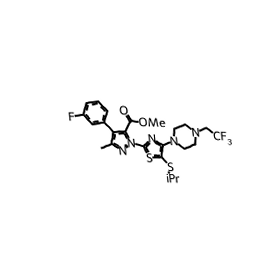 COC(=O)c1c(-c2cccc(F)c2)c(C)nn1-c1nc(N2CCN(CC(F)(F)F)CC2)c(SC(C)C)s1